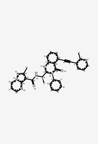 Cc1ncccc1C#Cc1cccc2nc([C@@H](C)NC(=O)c3c(C)nn4cccnc34)n(-c3ccccc3)c(=O)c12